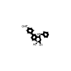 CCC1CC(Nc2ccccc2)c2cc(-c3ccc(C=O)cc3)ccc2N1C(C)=O